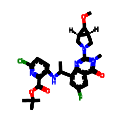 COC1[C@H]2CN(c3nc4c(C(C)Nc5ccc(Cl)nc5C(=O)OC(C)(C)C)cc(F)cc4c(=O)n3C)C[C@@H]12